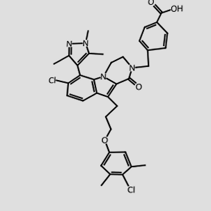 Cc1cc(OCCCc2c3n(c4c(-c5c(C)nn(C)c5C)c(Cl)ccc24)CCN(Cc2ccc(C(=O)O)cc2)C3=O)cc(C)c1Cl